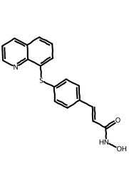 O=C(/C=C/c1ccc(Sc2cccc3cccnc23)cc1)NO